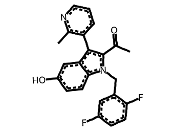 CC(=O)c1c(-c2cccnc2C)c2cc(O)ccc2n1Cc1cc(F)ccc1F